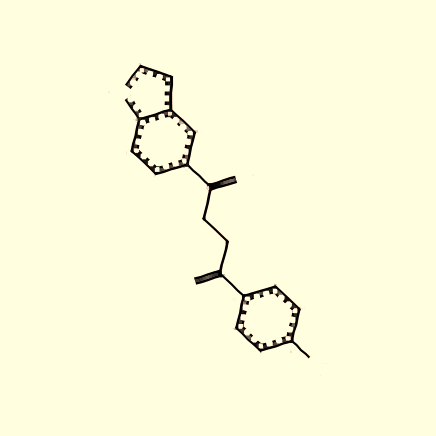 O=C(CCC(=O)c1ccc2occc2c1)c1ccc(O)cc1